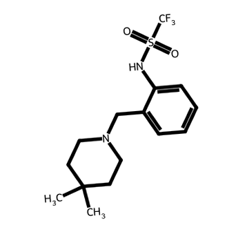 CC1(C)CCN(Cc2ccccc2NS(=O)(=O)C(F)(F)F)CC1